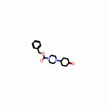 O=C1CCC(N2CCN(C(=O)OCc3ccccc3)CC2)CC1